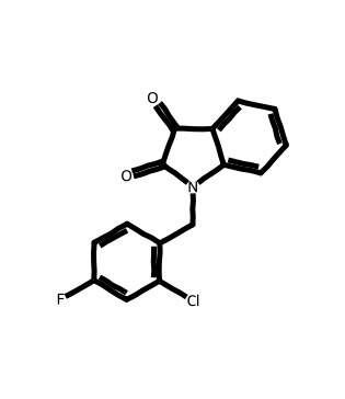 O=C1C(=O)N(Cc2ccc(F)cc2Cl)c2ccccc21